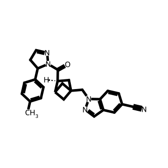 Cc1ccc(C2CC=NN2C(=O)[C@H]2CC3(Cn4ncc5cc(C#N)ccc54)CC2C3)cc1